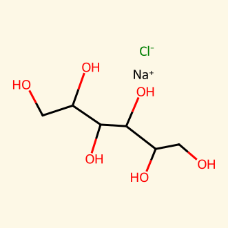 OCC(O)C(O)C(O)C(O)CO.[Cl-].[Na+]